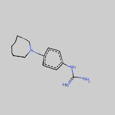 N=C(N)Nc1ccc(N2CCCCC2)cc1